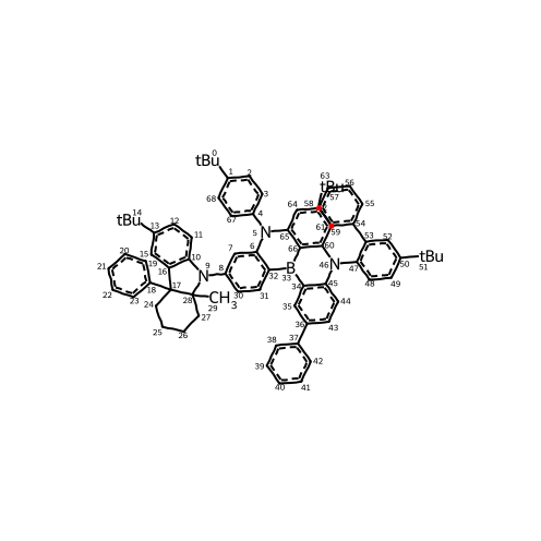 CC(C)(C)c1ccc(N2c3cc(N4c5ccc(C(C)(C)C)cc5C5(c6ccccc6)CCCCC45C)ccc3B3c4cc(-c5ccccc5)ccc4N(c4ccc(C(C)(C)C)cc4-c4ccccc4)c4cc(C(C)(C)C)cc2c43)cc1